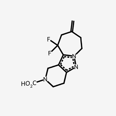 C=C1CCn2nc3c(c2C(F)(F)C1)CN(C(=O)O)CC3